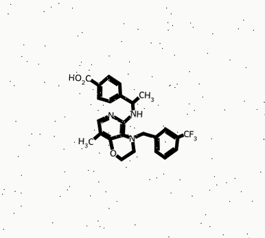 Cc1cnc(NC(C)c2ccc(C(=O)O)cc2)c2c1OCCN2Cc1cccc(C(F)(F)F)c1